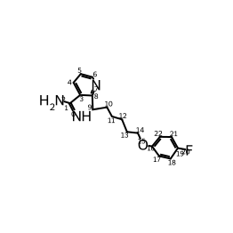 N=C(N)c1cccnc1CCCCCCOc1ccc(F)cc1